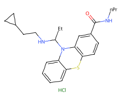 CCCNC(=O)c1ccc2c(c1)N(C(CC)NCCC1CC1)c1ccccc1S2.Cl